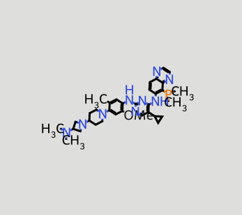 COc1cc(N2CCC(N3CC(N(C)C)C3)CC2)c(C)cc1Nc1ncc(C2CC2)c(Nc2ccc3nccnc3c2P(C)C)n1